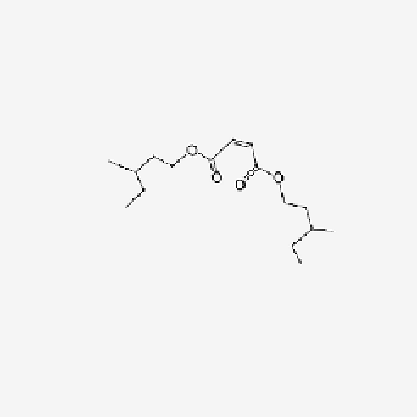 CCC(C)CCOC(=O)/C=C\C(=O)OCCC(C)CC